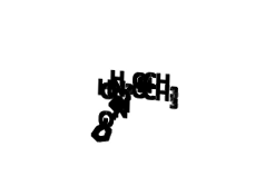 C[Si](C)(C)OC[C@H]1Cn2nc(COc3ccccc3)cc2C(=O)N1